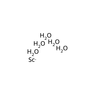 O.O.O.O.O.[Sc]